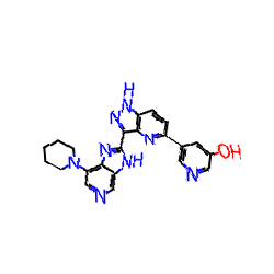 Oc1cncc(-c2ccc3[nH]nc(-c4nc5c(N6CCCCC6)cncc5[nH]4)c3n2)c1